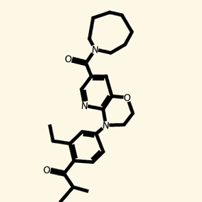 CCc1cc(N2CCOc3cc(C(=O)N4CCCCCCC4)cnc32)ccc1C(=O)C(C)C